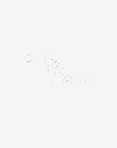 COC(=O)c1cc(NC(=O)c2cc(NC(=O)OCc3ccccc3)n(C)n2)n(C)n1